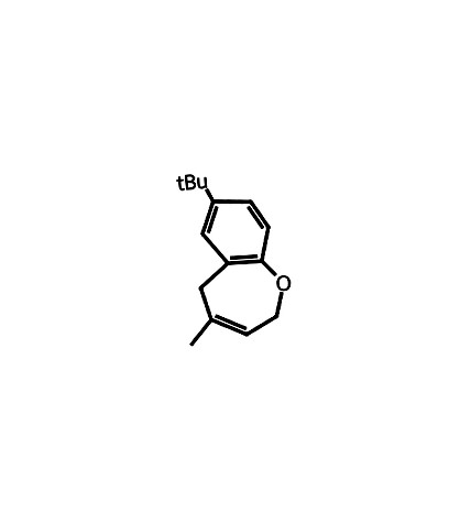 CC1=CCOc2ccc(C(C)(C)C)cc2C1